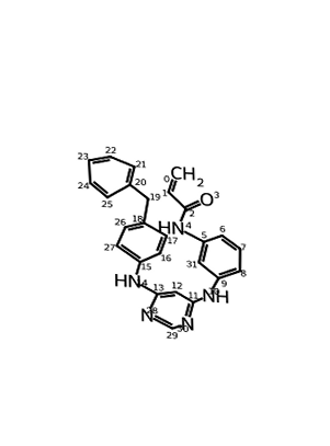 C=CC(=O)Nc1cccc(Nc2cc(Nc3ccc(Cc4ccccc4)cc3)ncn2)c1